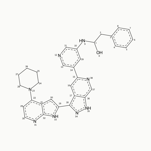 OC(Cc1ccccc1)Nc1cncc(-c2cc3c(-c4cc5c(N6CCCCC6)ccnc5[nH]4)n[nH]c3cn2)c1